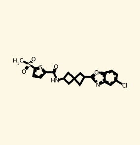 CS(=O)(=O)c1ccc(C(=O)NC2CC3(C2)CC(c2nc4cc(Cl)ccc4o2)C3)s1